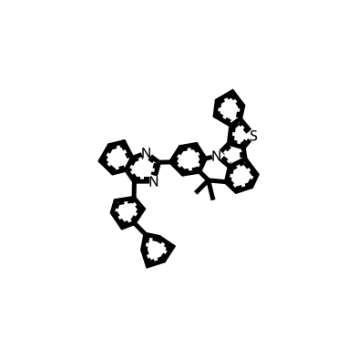 CC1(C)c2cc(-c3nc(-c4cccc(-c5ccccc5)c4)c4ccccc4n3)ccc2-n2c3c1cccc3c1sc3ccccc3c12